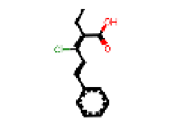 CCC(C(=O)O)=C(Cl)C=Cc1ccccc1